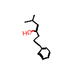 CC(C)CC(O)CCc1ccccc1